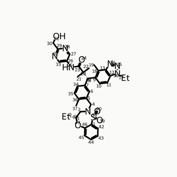 CC[C@@H]1CN(Cc2cc([C@@H](c3ccc4c(nnn4CC)c3C)C(C)(C)C(=O)Nc3cnc(CO)nc3)ccc2C)S(=O)(=O)c2ccccc2O1